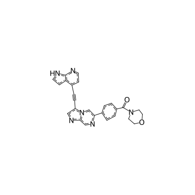 O=C(c1ccc(-c2cn3c(C#Cc4ccnc5[nH]ccc45)cnc3cn2)cc1)N1CCOCC1